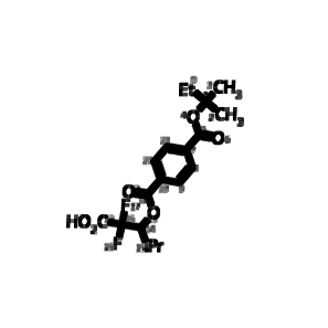 CCC(C)(C)OC(=O)c1ccc(C(=O)OC(C(C)C)C(F)(F)C(=O)O)cc1